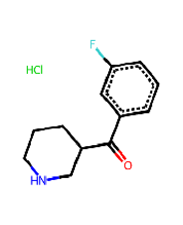 Cl.O=C(c1cccc(F)c1)C1CCCNC1